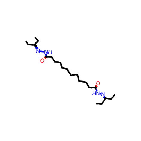 CCC(CC)=NNC(=O)CCCCCCCCCCC(=O)NN=C(CC)CC